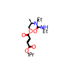 CCNC(=O)N(CC)[C@H](C)COC(=O)/C=C/C(=O)OC(C)C